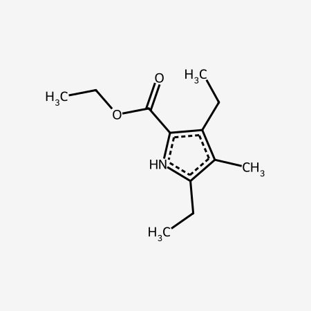 CCOC(=O)c1[nH]c(CC)c(C)c1CC